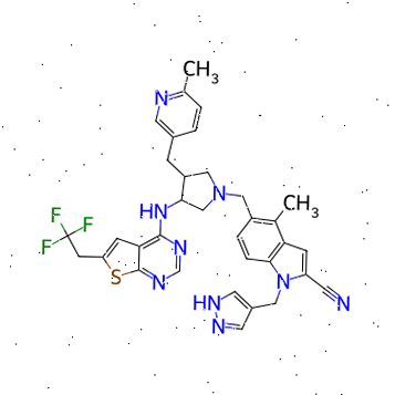 Cc1ccc(CC2CN(Cc3ccc4c(cc(C#N)n4Cc4cn[nH]c4)c3C)CC2Nc2ncnc3sc(CC(F)(F)F)cc23)cn1